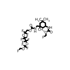 CC1(C)CC(NC(=O)OCF)CC(C)(CNC(=O)OCC(F)(F)OC(F)(F)C(F)(F)OC(F)(F)OCF)C1